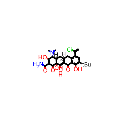 C=C(Cl)c1cc(C(C)(C)C)c(O)c2c1C[C@@H]1C[C@@H]3[C@@H](N(C)C)C(O)=C(C(N)=O)C(=O)[C@]3(O)C(O)=C1C2=O